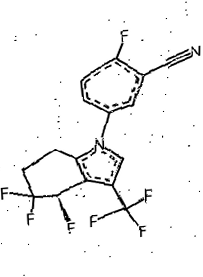 N#Cc1cc(-n2cc(C(F)(F)F)c3c2CCC(F)(F)[C@@H]3F)ccc1F